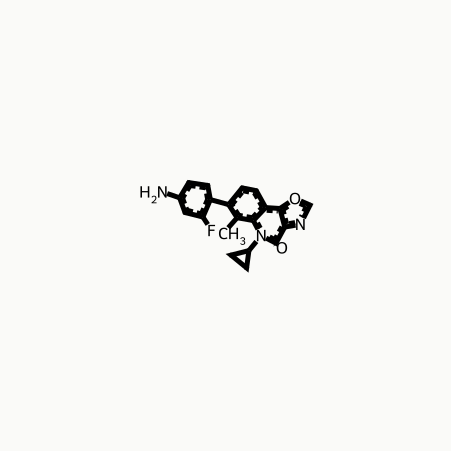 Cc1c(-c2ccc(N)cc2F)ccc2c3ocnc3c(=O)n(C3CC3)c12